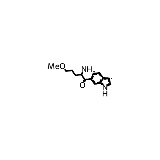 COCCCC(N)C(=O)c1ccc2[c]c[nH]c2c1